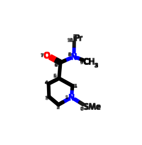 CSN1CCCC(C(=O)N(C)C(C)C)C1